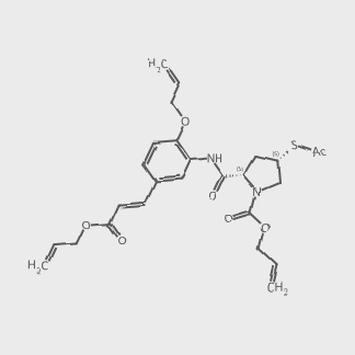 C=CCOC(=O)C=Cc1ccc(OCC=C)c(NC(=O)[C@@H]2C[C@H](SC(C)=O)CN2C(=O)OCC=C)c1